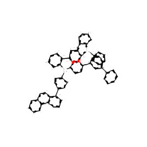 c1ccc(-c2cccc(-c3ccc(N(c4ccc(-c5cccc6c5ccc5ccccc56)cc4)c4ccccc4-c4ccc5c(c4)c4ccccc4n5-c4ccccc4)cc3)c2)cc1